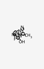 C[C@@H]1C[C@H](N)C[C@H](c2ccncc2NCc2ccn3ncc(-c4c(F)cc(CO)cc4F)c3n2)C1